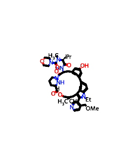 CCn1c(-c2cnccc2COC)c2c3cc(ccc31)-c1cc(O)cc(c1)C[C@H](NC(=O)[C@H](C(C)C)N(C)C(=O)N1CCOCC1)C(=O)N1CCC[C@H](N1)C(=O)OCC(C)(C)C2